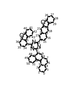 c1ccc2c(c1)ccc1cc(-c3nc(-c4ccc5cc6c(cc5c4)oc4ccccc46)nc(-c4cccc5oc6ccccc6c45)n3)c3ccccc3c12